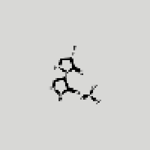 O=C1CCNN1.O=C1CCNN1.O=S([O-])[O-].[K+].[K+]